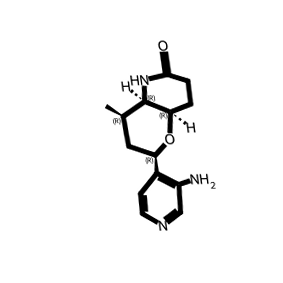 C[C@@H]1C[C@H](c2ccncc2N)O[C@@H]2CCC(=O)N[C@H]12